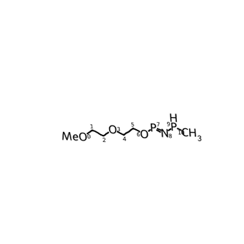 COCCOCCOP=NPC